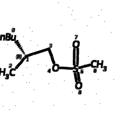 CCCC[C@@H](C)COS(C)(=O)=O